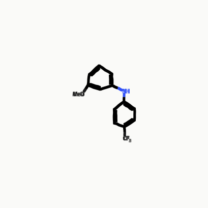 COc1cccc(Nc2ccc(C(F)(F)F)cc2)c1